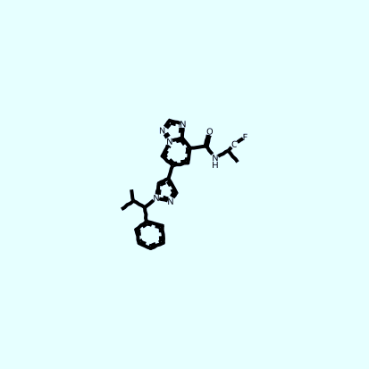 CC(CF)NC(=O)c1cc(-c2cnn(C(c3ccccc3)C(C)C)c2)cn2ncnc12